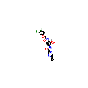 O=C(COc1ccc(Cl)c(F)c1)NC12CCC(NC(=O)c3cnc(C4CC4)cn3)(CC1)C[C@@H]2O